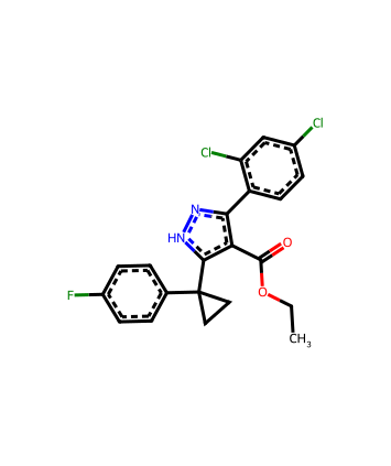 CCOC(=O)c1c(-c2ccc(Cl)cc2Cl)n[nH]c1C1(c2ccc(F)cc2)CC1